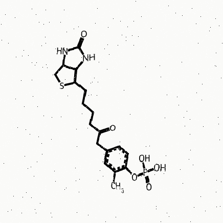 Cc1cc(CC(=O)CCCCC2SCC3NC(=O)NC32)ccc1OP(=O)(O)O